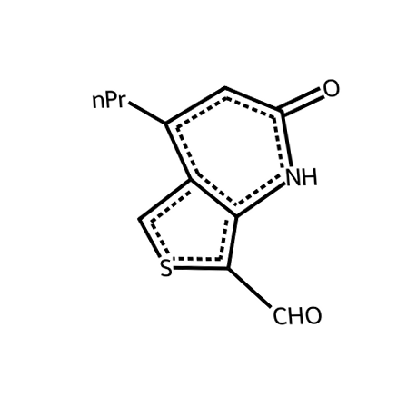 CCCc1cc(=O)[nH]c2c(C=O)scc12